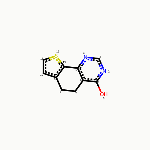 Oc1ncnc2c1CCc1ccsc1-2